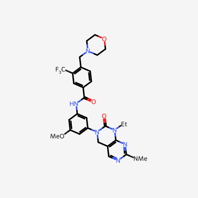 CCN1C(=O)N(c2cc(NC(=O)c3ccc(CN4CCOCC4)c(C(F)(F)F)c3)cc(OC)c2)Cc2cnc(NC)nc21